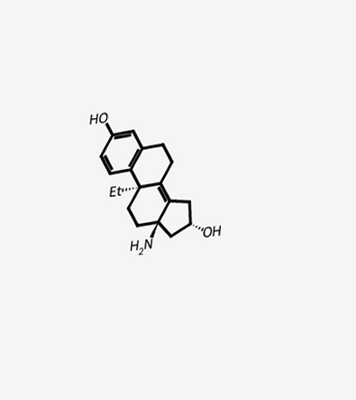 CC[C@@]12CC[C@@]3(N)C[C@@H](O)CC3=C1CCc1cc(O)ccc12